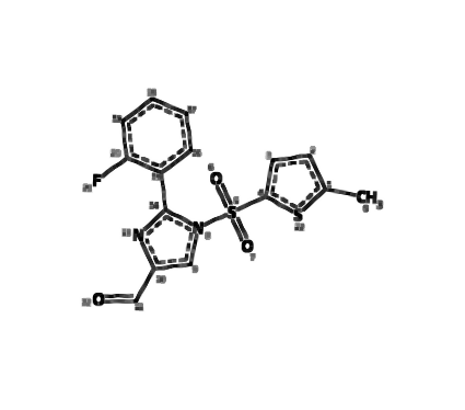 Cc1ccc(S(=O)(=O)n2cc(C=O)nc2-c2ccccc2F)s1